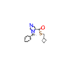 C[C@H](c1ccccc1)n1cncc1C(=O)SCC1CCC1